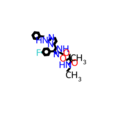 CCCNC(=O)C1(C)COC(c2nc(-c3ccc(F)cc3)c(-c3ccnc(NCc4ccccc4)n3)[nH]2)OC1